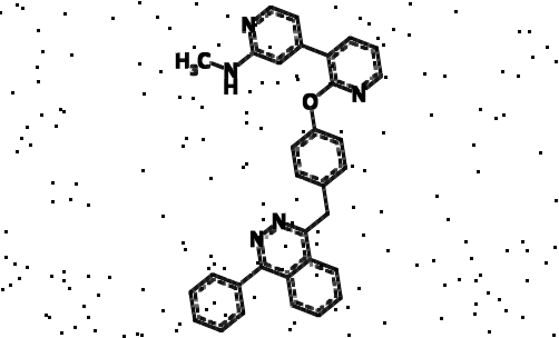 CNc1cc(-c2cccnc2Oc2ccc(Cc3nnc(-c4ccccc4)c4ccccc34)cc2)ccn1